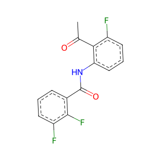 CC(=O)c1c(F)cccc1NC(=O)c1cccc(F)c1F